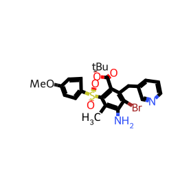 COc1ccc(S(=O)(=O)c2c(C)c(N)c(Br)c(Cc3cccnc3)c2C(=O)OC(C)(C)C)cc1